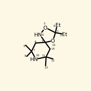 CCC1(CC)ONC2(CC(C)(C)NC(C)(C)C2)O1